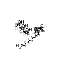 CCCCCCCCN1C=CN(C)C1.OB(O)F.OB(O)F.OB(O)F.OB(O)F